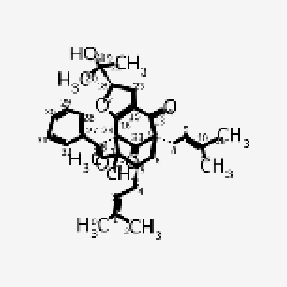 CC(C)=CC[C@@H]1C[C@]2(CC=C(C)C)C(=O)C3=C(O[C@@H](C(C)(C)O)C3)[C@@](C(=O)c3ccccc3)(C2=O)C1(C)C